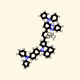 C=C(/C=C\C(=C)c1ccc(N(c2ccccc2)c2ccccc2)cc1Nc1ccccc1)c1ccc2c(c1)-c1cccc3cccc(c13)N2c1ccc2cc(N(c3ccccc3)c3ccccc3)ccc2c1